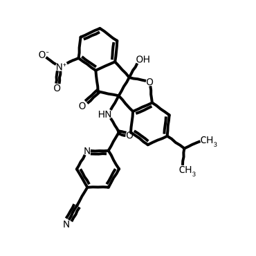 CC(C)c1ccc2c(c1)OC1(O)c3cccc([N+](=O)[O-])c3C(=O)C21NC(=O)c1ccc(C#N)cn1